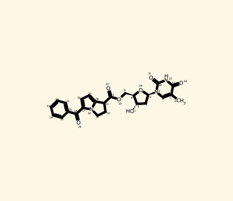 Cc1cn([C@H]2C[C@H](O)[C@@H](COC(=O)C3CCn4c(C(=O)c5ccccc5)ccc43)O2)c(=O)[nH]c1=O